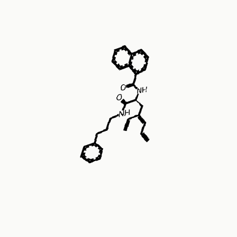 C=C/C=C(\C=C)C[C@H](NC(=O)c1cccc2ccccc12)C(=O)NCCCc1ccccc1